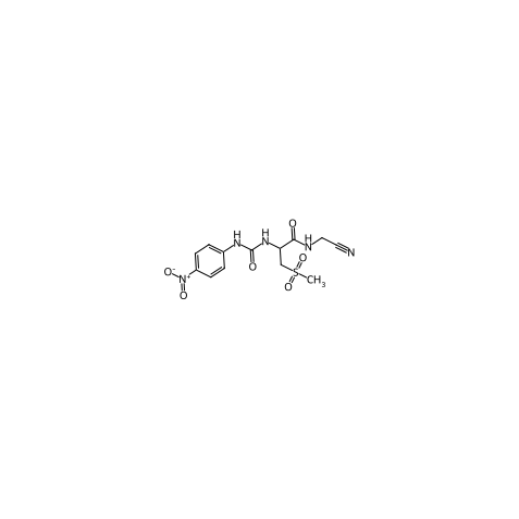 CS(=O)(=O)CC(NC(=O)Nc1ccc([N+](=O)[O-])cc1)C(=O)NCC#N